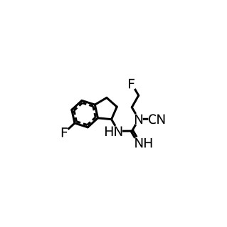 N#CN(CCF)C(=N)NC1CCc2ccc(F)cc21